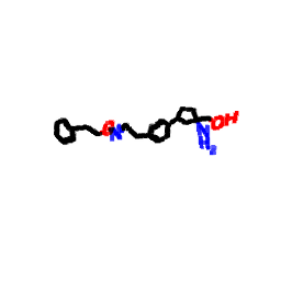 NC1(CO)CCC(c2ccc(CC=NOCCc3ccccc3)cc2)C1